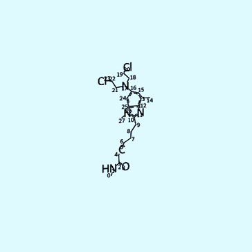 CNC(=O)CCCCCCc1nc2c(C)cc(N(CCCl)CCCl)cc2n1C